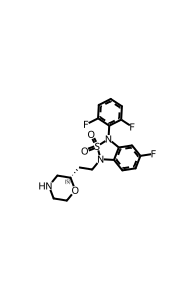 O=S1(=O)N(CC[C@H]2CNCCO2)c2ccc(F)cc2N1c1c(F)cccc1F